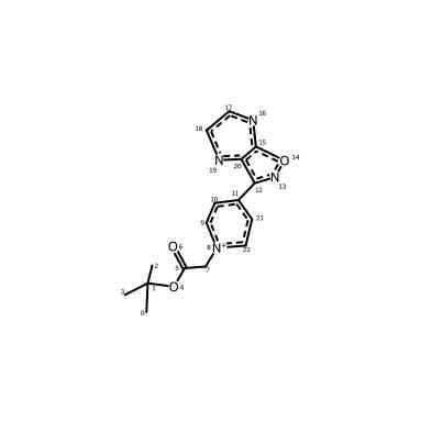 CC(C)(C)OC(=O)C[n+]1ccc(-c2noc3nccnc23)cc1